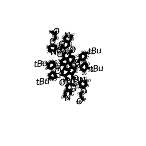 CC(C)(C)c1ccc(Oc2cc3c4c(cc(Oc5ccc(C(C)(C)C)cc5)c5c6c(Oc7ccc(C(C)(C)C)cc7)cc7c8c(cc(Oc9ccc(C(C)(C)C)cc9)c(c2c45)c86)C(=O)N(C(Cc2ccncc2)C(=O)Oc2cc(OCC4CO4)ccn2)C7=O)C(=O)N(C(Cc2ccncc2)C(=O)Oc2cc(OCC4CO4)ccn2)C3=O)cc1